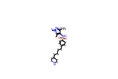 CCCc1nn(C)c(C)c1NS(=O)(=O)c1ccc(CCCCC2CCNCC2)cc1